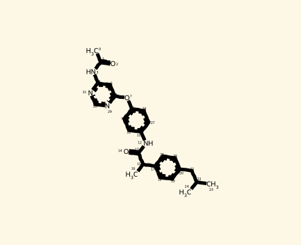 CC(=O)Nc1cc(Oc2ccc(NC(=O)C(C)c3ccc(CC(C)C)cc3)cc2)ncn1